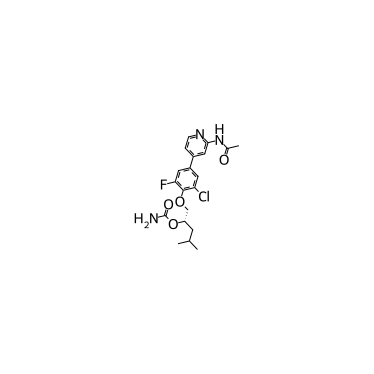 CC(=O)Nc1cc(-c2cc(F)c(OC[C@H](CC(C)C)OC(N)=O)c(Cl)c2)ccn1